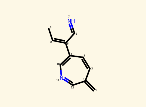 C=C1C=CC(/C(C=N)=C/C)=CN=C1